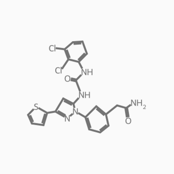 NC(=O)Cc1cccc(-n2nc(-c3cccs3)cc2NC(=O)Nc2cccc(Cl)c2Cl)c1